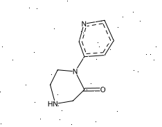 O=C1CNCCN1c1cccnc1